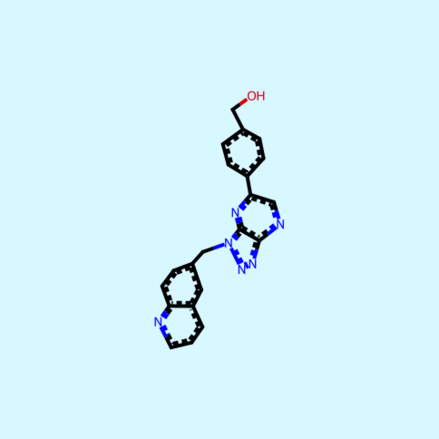 OCc1ccc(-c2cnc3nnn(Cc4ccc5ncccc5c4)c3n2)cc1